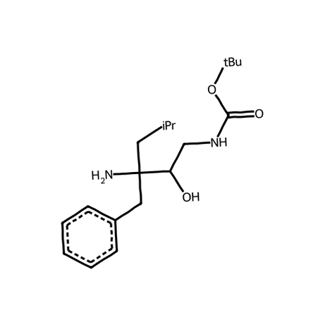 CC(C)CC(N)(Cc1ccccc1)C(O)CNC(=O)OC(C)(C)C